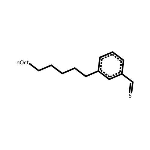 CCCCCCCCCCCCCc1cccc(C=S)c1